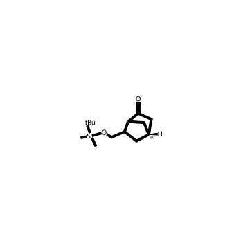 CC(C)(C)[Si](C)(C)OCC1C[C@H]2CC(=O)C1C2